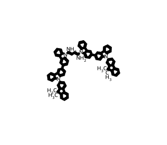 CC1(C)c2ccccc2-c2ccc(-n3c4ccccc4c4cc(-c5ccc6c(c5)c5ccccc5n6/C(N)=C/C=C(\N)n5c6ccccc6c6cc(-c7ccc8c(c7)c7ccccc7n8-c7ccc8c(c7)C(C)(C)c7ccccc7-8)ccc65)ccc43)cc21